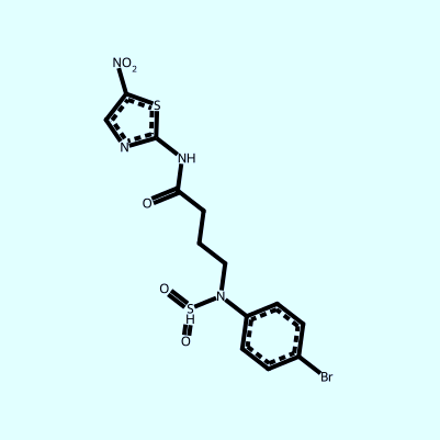 O=C(CCCN(c1ccc(Br)cc1)[SH](=O)=O)Nc1ncc([N+](=O)[O-])s1